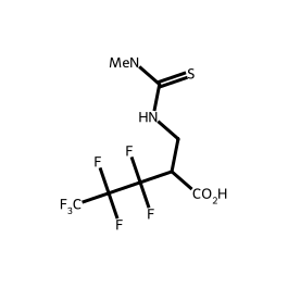 CNC(=S)NCC(C(=O)O)C(F)(F)C(F)(F)C(F)(F)F